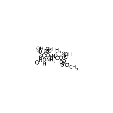 Cc1ccc(S(=O)(=O)Oc2cc(S(=O)(=O)O)cc3c(C)c(N=Nc4cc(S(=O)(=O)O)c5cc(SOOO)c(N=Nc6ccccc6)c(O)c5c4N)ccc23)cc1